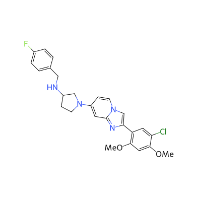 COc1cc(OC)c(-c2cn3ccc(N4CCC(NCc5ccc(F)cc5)C4)cc3n2)cc1Cl